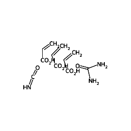 C=CC(=O)O.C=CC(=O)O.C=CC(=O)O.N=C=O.NC(N)=O